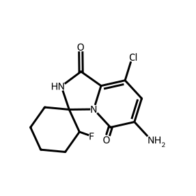 Nc1cc(Cl)c2n(c1=O)C1(CCCCC1F)NC2=O